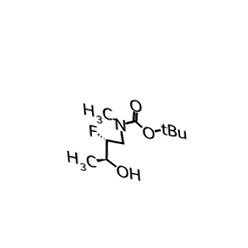 C[C@H](O)[C@H](F)CN(C)C(=O)OC(C)(C)C